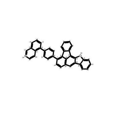 c1ccc2c(c1)-c1c(-c3ccc(-c4cccc5cnccc45)cc3)ccc3cc4c(oc5ccccc54)c-2c13